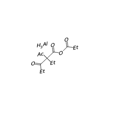 CCC(=O)OC(=O)C(CC)(C(C)=O)C(=O)CC.[AlH3]